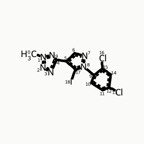 Cn1nnc(-c2cnn(-c3ccc(Cl)cc3Cl)c2I)n1